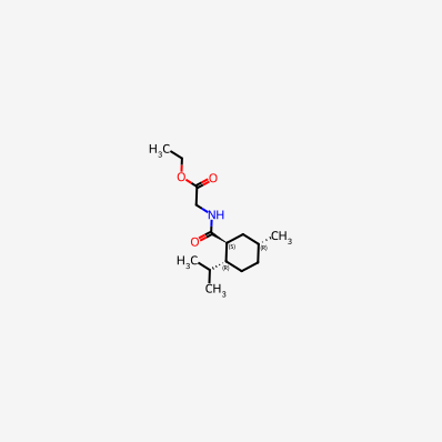 CCOC(=O)CNC(=O)[C@H]1C[C@H](C)CC[C@@H]1C(C)C